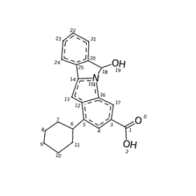 O=C(O)c1cc(C2CCCCC2)c2cc3n(c2c1)C(O)c1ccccc1-3